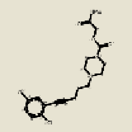 CNC(=O)COC(=O)N1CCN(CCCC#Cc2cc(Cl)ccc2Cl)CC1